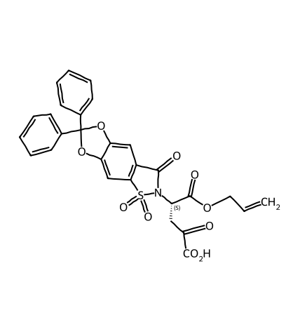 C=CCOC(=O)[C@H](CC(=O)C(=O)O)N1C(=O)c2cc3c(cc2S1(=O)=O)OC(c1ccccc1)(c1ccccc1)O3